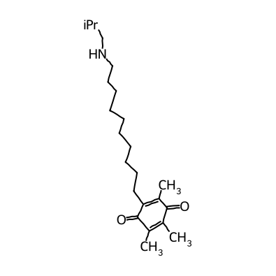 CC1=C(C)C(=O)C(CCCCCCCCCCNCC(C)C)=C(C)C1=O